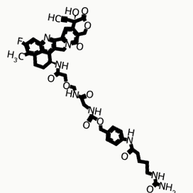 C#C[C@@]1(O)C(=O)OCc2c1cc1n(c2=O)Cc2c-1nc1cc(F)c(C)c3c1c2[C@@H](NC(=O)COCNC(=O)CNC(=O)OCc1ccc(NC(=O)CCCCNC(N)=O)cc1)CC3